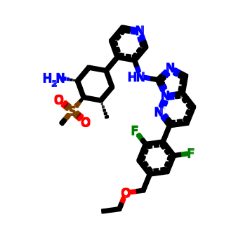 CCOCc1cc(F)c(-c2ccc3cnc(Nc4cnccc4C4C[C@@H](N)[C@H](S(C)(=O)=O)[C@@H](C)C4)n3n2)c(F)c1